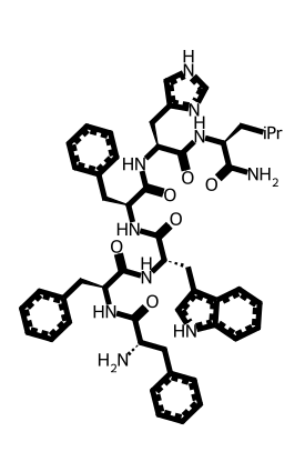 CC(C)C[C@H](NC(=O)[C@H](Cc1c[nH]cn1)NC(=O)[C@H](Cc1ccccc1)NC(=O)[C@H](Cc1c[nH]c2ccccc12)NC(=O)[C@H](Cc1ccccc1)NC(=O)[C@@H](N)Cc1ccccc1)C(N)=O